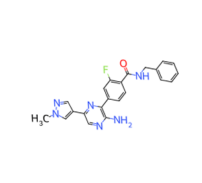 Cn1cc(-c2cnc(N)c(-c3ccc(C(=O)NCc4ccccc4)c(F)c3)n2)cn1